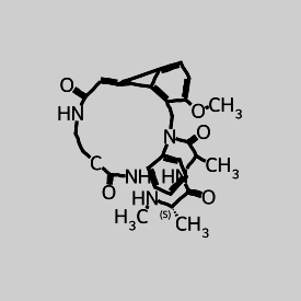 CN[C@@H](C)C(=O)NC(C)C(=O)N1Cc2c(OC)ccc3cc(ccc23)C(=O)NCCCC(=O)Nc2ccccc21